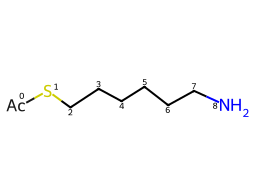 CC(=O)SCCCCCCN